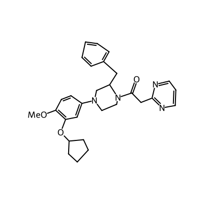 COc1ccc(N2CCN(C(=O)Cc3ncccn3)C(Cc3ccccc3)C2)cc1OC1CCCC1